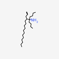 C=CCC(CCCCCCCCCCCC)C(N)(CCCC)CCCC